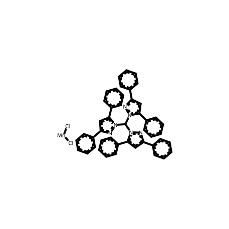 [Cl][Mn][Cl].c1ccc(-c2cc(-c3ccccc3)n(C(n3nc(-c4ccccc4)cc3-c3ccccc3)n3nc(-c4ccccc4)cc3-c3ccccc3)n2)cc1